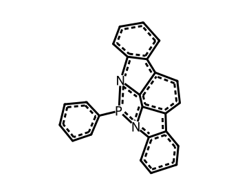 c1ccc(-p2n3c4ccccc4c4ccc5c6ccccc6n2c5c43)cc1